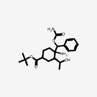 CC(O)C1CC(C(=O)OC(C)(C)C)CCC1(N)C(OC(N)=O)c1ccccc1